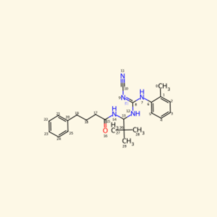 Cc1ccccc1N/C(=N\C#N)NC(NC(=O)CCCc1ccccc1)C(C)(C)C